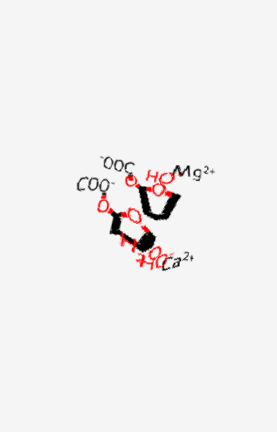 O.O=C([O-])Oc1ccco1.O=C([O-])Oc1ccco1.[Ca+2].[Mg+2].[OH-].[OH-]